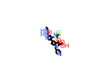 CCNC(=O)Nc1cc(-c2nc(C(F)(F)F)cs2)c(-c2ccc3c(c2)c(=O)c(C(=O)O)cn3CC2CCN(C)CC2)cn1